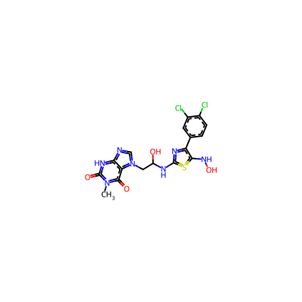 Cn1c(=O)[nH]c2ncn(CC(O)Nc3nc(-c4ccc(Cl)c(Cl)c4)c(NO)s3)c2c1=O